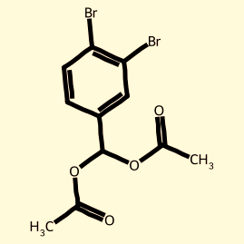 CC(=O)OC(OC(C)=O)c1ccc(Br)c(Br)c1